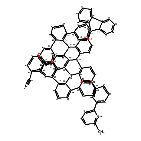 Cc1cccc(-c2cccc(-c3ccc4c(c3)N(c3c(-c5ccccc5)cccc3-c3ccccc3)c3cc(-c5cccc(C#N)c5)cc5c3B4c3ccc(-n4c6ccccc6c6ccccc64)cc3N5c3c(-c4ccccc4)cccc3-c3ccccc3)c2)n1